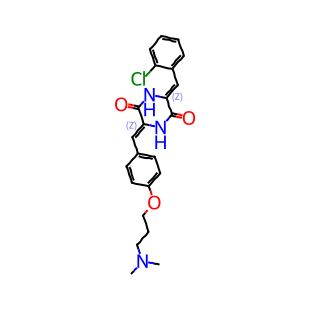 CN(C)CCCOc1ccc(/C=c2\[nH]c(=O)/c(=C/c3ccccc3Cl)[nH]c2=O)cc1